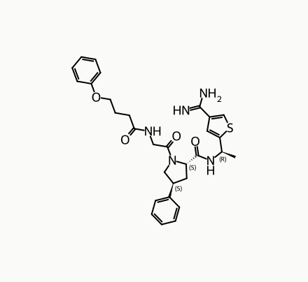 C[C@@H](NC(=O)[C@@H]1C[C@@H](c2ccccc2)CN1C(=O)CNC(=O)CCCOc1ccccc1)c1cc(C(=N)N)cs1